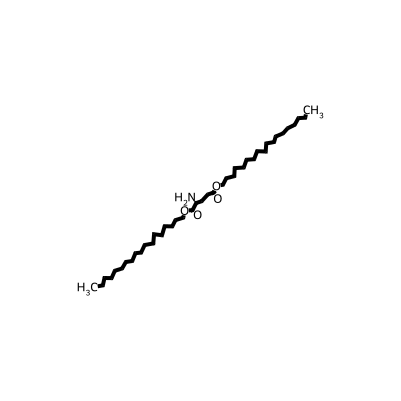 CCCCCCCCCCCCCCCCCCOC(=O)CC[C@@H](N)C(=O)OCCCCCCCCCCCCCCCCCC